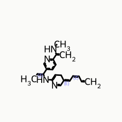 C=C/C=C\C=C1\C=NC(N/C(=C\C)c2ccc(C(=C)NC)nc2)=CC1